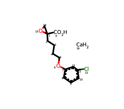 O=C(O)C1(CCCCOc2cccc(Cl)c2)CO1.[CaH2]